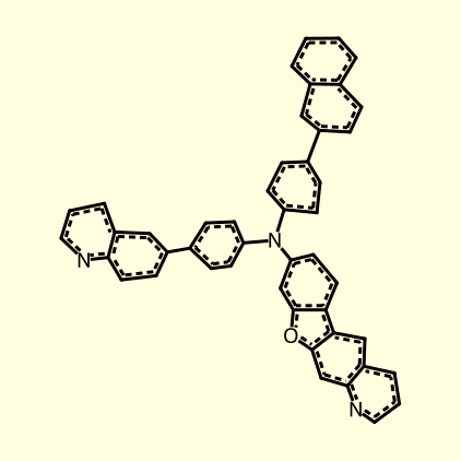 c1ccc2cc(-c3ccc(N(c4ccc(-c5ccc6ncccc6c5)cc4)c4ccc5c(c4)oc4cc6ncccc6cc45)cc3)ccc2c1